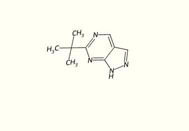 CC(C)(C)c1ncc2cn[nH]c2n1